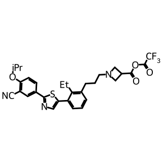 CCc1c(CCCN2CC(C(=O)OC(=O)C(F)(F)F)C2)cccc1-c1cnc(-c2ccc(OC(C)C)c(C#N)c2)s1